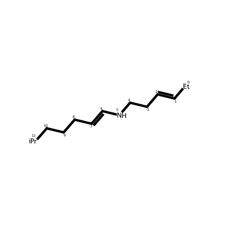 CC/C=C/CCN/C=C/CCCC(C)C